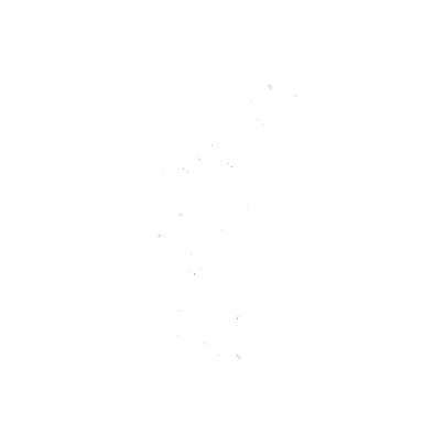 O=C(O)CCc1cnc([C@@H]2C[C@H](N3CCC(F)(F)CC3)CN2C(=O)Cc2cc(Cl)c(NC(=O)c3coc4ccccc34)cc2F)s1